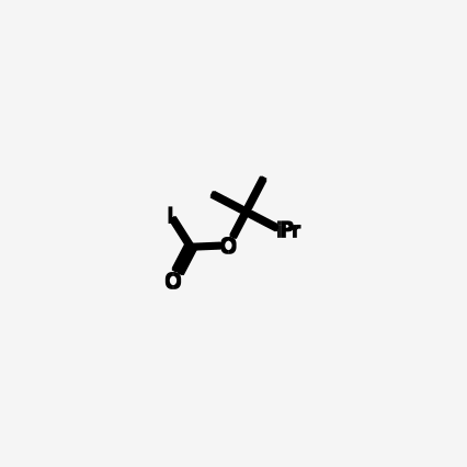 CC(C)C(C)(C)OC(=O)I